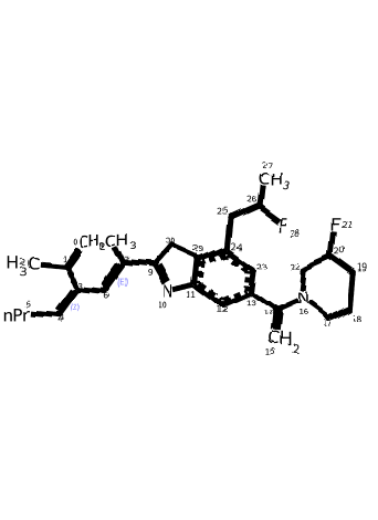 C=C(C)C(=C\CCC)/C=C(\C)C1=Nc2cc(C(=C)N3CCCC(F)C3)cc(CC(C)F)c2C1